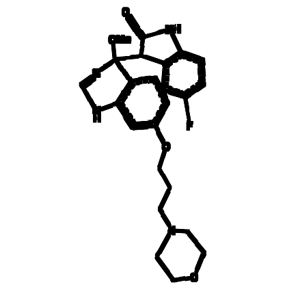 COC1(C2C(=O)Nc3ccc(F)cc32)N=CNc2cc(OCCCN3CCOCC3)ccc21